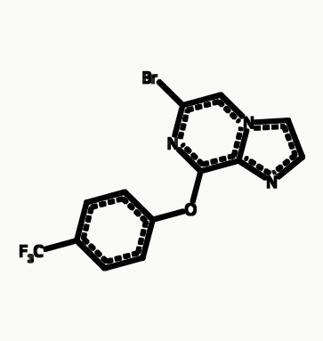 FC(F)(F)c1ccc(Oc2nc(Br)cn3ccnc23)cc1